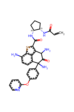 C=CC(=O)N[C@H]1CCC[C@H]1NC(=O)c1sc2c(N)ccc3c2c1C(N)C(=O)C3(N)c1ccc(Oc2ccccn2)cc1